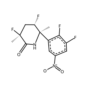 C[C@]1(F)C[C@H](F)[C@@](C)(c2cc([N+](=O)[O-])cc(F)c2F)NC1=O